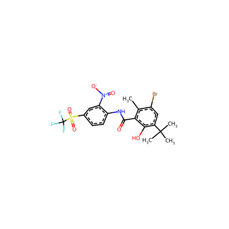 Cc1c(Br)cc(C(C)(C)C)c(O)c1C(=O)Nc1ccc(S(=O)(=O)C(F)(F)F)cc1[N+](=O)[O-]